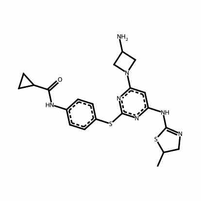 CC1CN=C(Nc2cc(N3CC(N)C3)nc(Sc3ccc(NC(=O)C4CC4)cc3)n2)S1